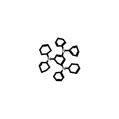 C1=CCCC(N(C2=CC(N(C3=CCCC=C3)c3ccccc3)=CC(N(C3C=CCCC3)C3CC=CCC3)C2)C2CC=CCC2)=C1